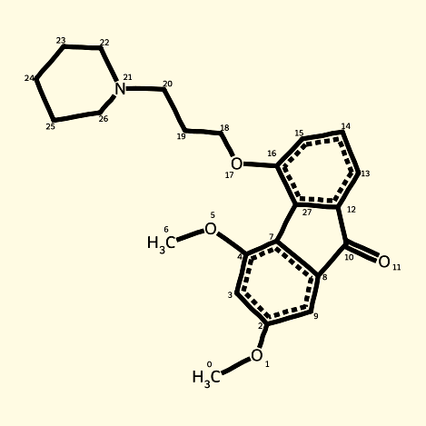 COc1cc(OC)c2c(c1)C(=O)c1cccc(OCCCN3CCCCC3)c1-2